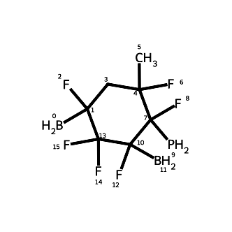 BC1(F)CC(C)(F)C(F)(P)C(B)(F)C1(F)F